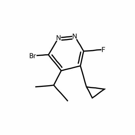 CC(C)c1c(Br)nnc(F)c1C1CC1